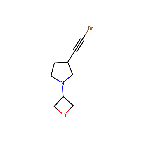 BrC#CC1CCN(C2COC2)C1